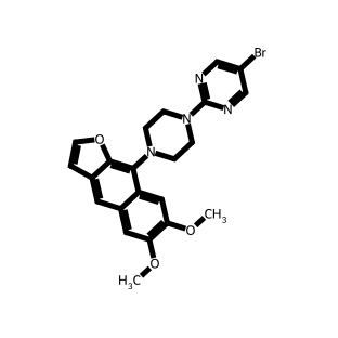 COc1cc2cc3ccoc3c(N3CCN(c4ncc(Br)cn4)CC3)c2cc1OC